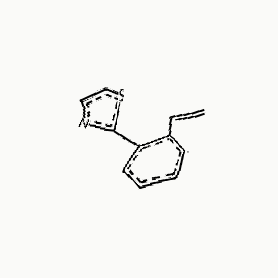 C=Cc1[c]cccc1-c1nccs1